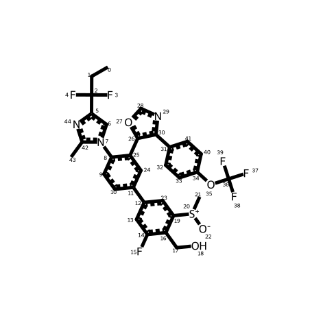 CCC(F)(F)c1cn(-c2ccc(-c3cc(F)c(CO)c([S+](C)[O-])c3)cc2-c2ocnc2-c2ccc(OC(F)(F)F)cc2)c(C)n1